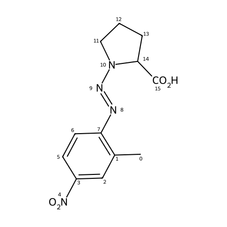 Cc1cc([N+](=O)[O-])ccc1N=NN1CCCC1C(=O)O